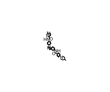 CC1CCN(c2ccc(C(=O)Nc3ccc4c(cnn4-c4ccc(NC(=O)c5ccncn5)cc4)c3)cc2)CC1